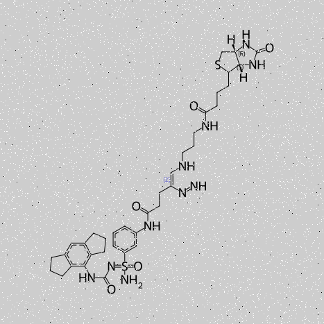 N=N/C(=C\NCCCNC(=O)CCCC1SC[C@@H]2NC(=O)N[C@H]12)CCC(=O)Nc1cccc(S(N)(=O)=NC(=O)Nc2c3c(cc4c2CCC4)CCC3)c1